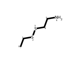 [CH2]CSSCCN